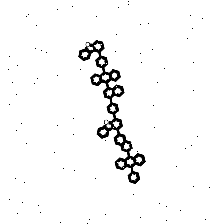 c1ccc(-c2c3ccccc3c(-c3ccc4cc(-c5ccc(-c6ccc(-c7ccc(-c8c9ccccc9c(-c9ccc(-c%10cccc%11oc%12ccccc%12c%10%11)cc9)c9ccccc89)c8ccccc78)cc6)c6oc7ccccc7c56)ccc4c3)c3ccccc23)cc1